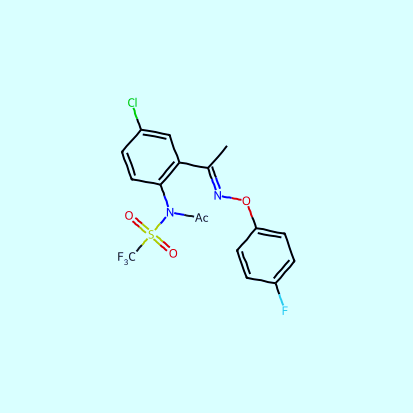 CC(=O)N(c1ccc(Cl)cc1/C(C)=N/Oc1ccc(F)cc1)S(=O)(=O)C(F)(F)F